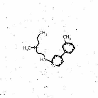 CCCN(C)CCNc1cc(-c2cccc(C)c2)ccn1